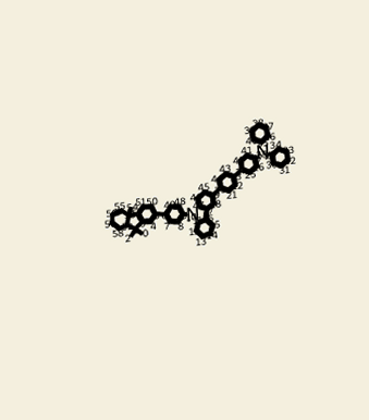 CC1(C)c2cc(-c3ccc(-n4c5ccccc5c5cc(-c6ccc(-c7ccc(N(c8ccccc8)c8ccccc8)cc7)cc6)ccc54)cc3)ccc2C2(C)C=CC=CC12